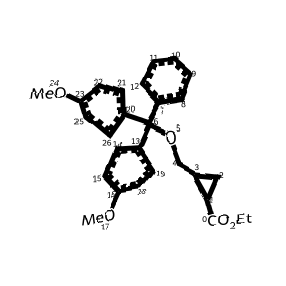 CCOC(=O)C1CC1COC(c1ccccc1)(c1ccc(OC)cc1)c1ccc(OC)cc1